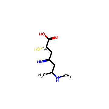 CNC(C)CC(=N)C[C@H](S)C(=O)O